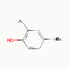 CCCCc1ccc(O)c(C(C)=O)c1